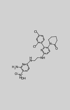 Nc1nc(NCCNc2ccc(N3CCCCC3=O)c(-c3ccc(Cl)cc3Cl)n2)ccc1[NH+]([O-])O